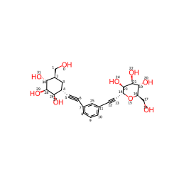 OC[C@H]1C[C@H](C#Cc2cccc(C#C[C@H]3O[C@H](CO)[C@@H](O)[C@H](O)[C@@H]3O)c2)[C@@H](O)[C@@H](O)[C@@H]1O